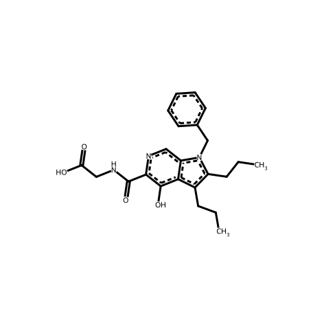 CCCc1c(CCC)n(Cc2ccccc2)c2cnc(C(=O)NCC(=O)O)c(O)c12